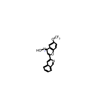 O/N=c1\cc(-c2cc3ccccc3cn2)oc2ccc(OC(F)(F)F)cc12